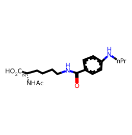 CCCNc1ccc(C(=O)NCCCC[C@H](NC(C)=O)C(=O)O)cc1